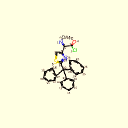 CON=C(C(=O)Cl)c1csc(C(c2ccccc2)(c2ccccc2)c2ccccc2)n1